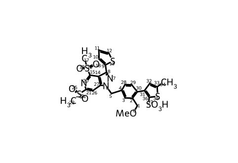 COCc1cc(Cn2nc(-c3cccs3)c3c(S(C)(=O)=O)nc(S(C)(=O)=O)cc32)ccc1-c1cc(C)sc1S(=O)(=O)O